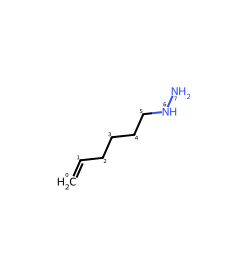 C=CCCCCNN